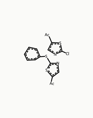 CC(=O)c1cnc(Cl)s1.CC(=O)c1cnc(Sc2ccccc2)s1